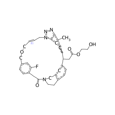 Cc1c2ccc3c1nnn3C/C=C/COCc1ccc(c(F)c1)C(=O)N1CCc3ccc(cc3C1)C2CC(=O)OCCO